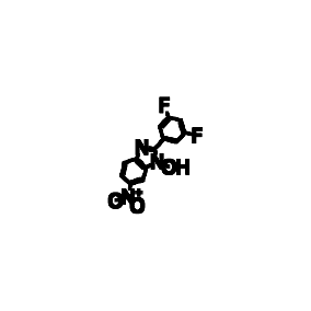 O=[N+]([O-])c1ccc2nc(-c3cc(F)cc(F)c3)n(O)c2c1